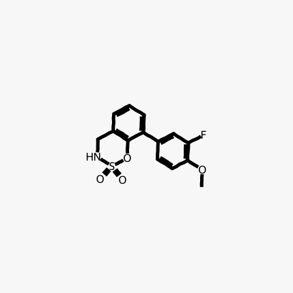 COc1ccc(-c2cccc3c2OS(=O)(=O)NC3)cc1F